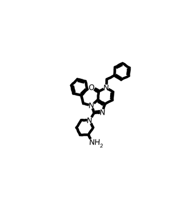 NC1CCCN(c2nc3ccn(Cc4ccccc4)c(=O)c3n2Cc2ccccc2)C1